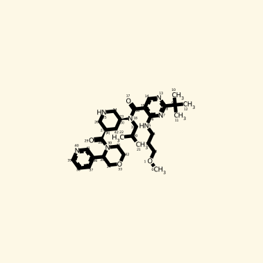 COCCCNc1nc(C(C)(C)C)ncc1C(=O)N(CC(C)C)[C@@H]1CNC[C@H](C(=O)N2CCOCC2c2cccnc2)C1